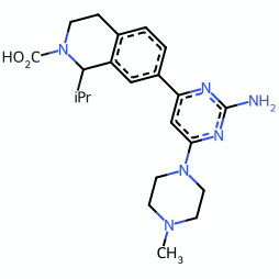 CC(C)C1c2cc(-c3cc(N4CCN(C)CC4)nc(N)n3)ccc2CCN1C(=O)O